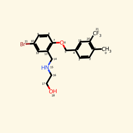 Cc1ccc(COc2ccc(Br)cc2CNCCO)cc1C(F)(F)F